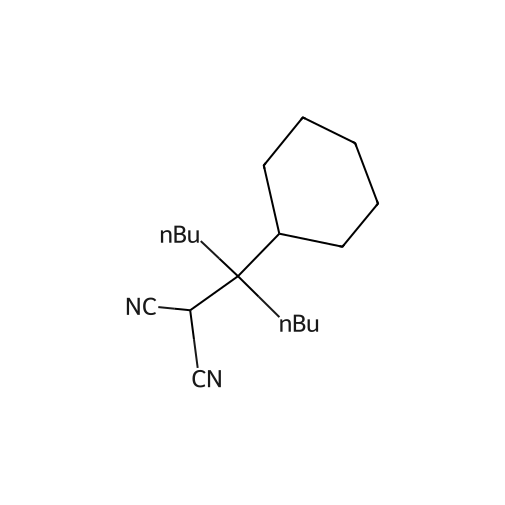 CCCCC(CCCC)(C(C#N)C#N)C1CCCCC1